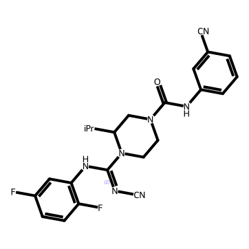 CC(C)C1CN(C(=O)Nc2cccc(C#N)c2)CCN1/C(=N\C#N)Nc1cc(F)ccc1F